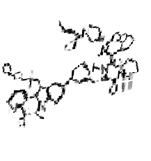 CC#CC(=O)N1CC[C@H](C(=O)N(C)C(C(=O)N[C@@H](Cc2cccc(-c3ccc4c(c3)c(CC(C)(C)COC=O)c(-c3cccnc3[C@H](C)OC)n4CC)c2)C(=O)N2CCCCN2)C2CCCO2)C1